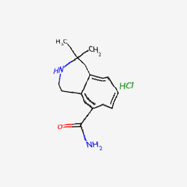 CC1(C)NCc2c(C(N)=O)cccc21.Cl